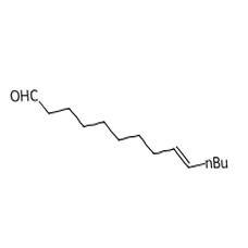 CCCCC=CCCCCCCCC=O